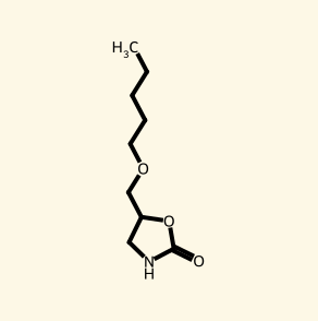 CCCCCOCC1CNC(=O)O1